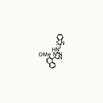 COc1ccc2ccccc2c1-c1cnnc(NCc2nc3ccccc3s2)n1